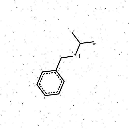 CC(C)PCc1ccccc1